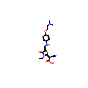 CCn1c(=C(C#N)C(=O)O)sc(=CNc2ccc(OCCN(C)C)cc2)c1=O